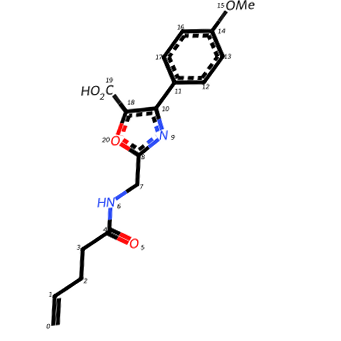 C=CCCC(=O)NCc1nc(-c2ccc(OC)cc2)c(C(=O)O)o1